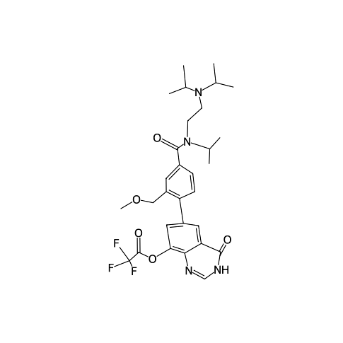 COCc1cc(C(=O)N(CCN(C(C)C)C(C)C)C(C)C)ccc1-c1cc(OC(=O)C(F)(F)F)c2nc[nH]c(=O)c2c1